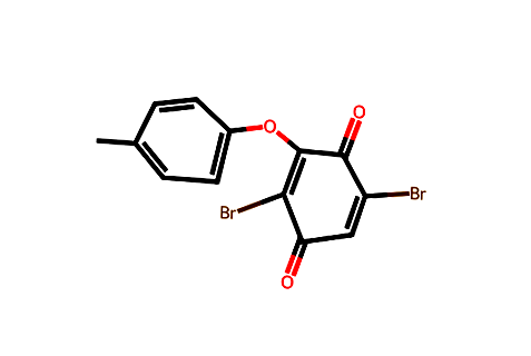 Cc1ccc(OC2=C(Br)C(=O)C=C(Br)C2=O)cc1